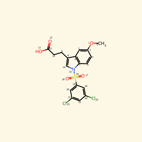 COc1ccc2c(c1)c(CCC(=O)O)cn2S(=O)(=O)c1cc(Cl)cc(Cl)c1